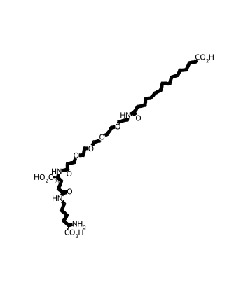 N[C@@H](CCCCNC(=O)CC[C@H](NC(=O)CCOCCOCCOCCOCCNC(=O)CCCCCCCCCCCCCCC(=O)O)C(=O)O)C(=O)O